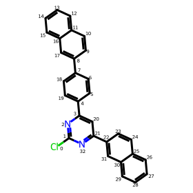 Clc1nc(-c2ccc(-c3ccc4ccccc4c3)cc2)cc(-c2ccc3ccccc3c2)n1